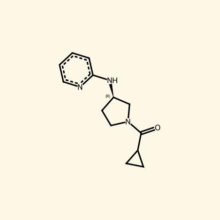 O=C(C1CC1)N1CC[C@@H](Nc2ccccn2)C1